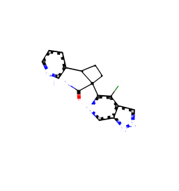 NC(=O)C1(c2ncc3[nH]ncc3c2F)CCC1c1cccnc1